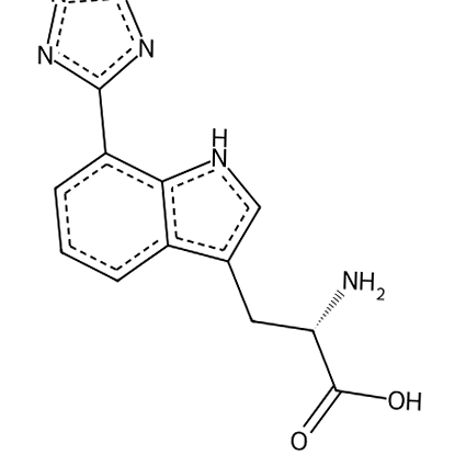 N[C@@H](Cc1c[nH]c2c(-c3nn[nH]n3)cccc12)C(=O)O